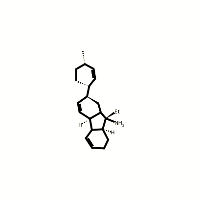 CC[C@]1(N)C2C[C@H]([C@H]3C=C[C@@H](C)CC3)C=C[C@@H]2C2C=CCC[C@@H]21